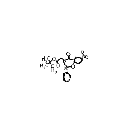 CC(C)(C)OC(=O)CN1C[C@@H](c2ccccc2)Oc2ccc([N+](=O)[O-])cc2C1=O